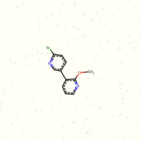 COc1ncccc1-c1ccc(Br)nc1